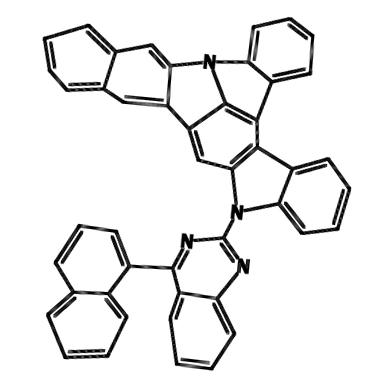 c1ccc2cc3c(cc2c1)c1cc2c(c4ccccc4n2-c2nc(-c4cccc5ccccc45)c4ccccc4n2)c2c4ccccc4n3c12